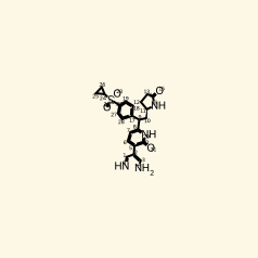 N=C/C(=C\N)c1ccc(C(C[C@H]2CCC(=O)N2)c2ccc(S(=O)(=O)C3CC3)cc2)[nH]c1=O